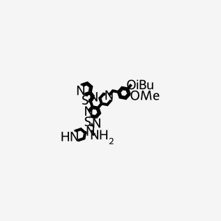 COc1ccc(CN2CCC(c3cc4nc(N(N)C5CCNCC5)sc4nc3-c3nc4cccnc4s3)CC2)cc1OCC(C)C